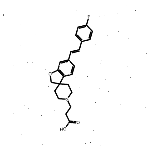 O=C(O)CCN1CCC2(CC1)COc1cc(C=Cc3ccc(F)cc3)ccc12